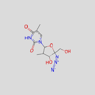 Cc1cn(C2OC(CO)(N=[N+]=[N-])C(O)C2C)c(=O)[nH]c1=O